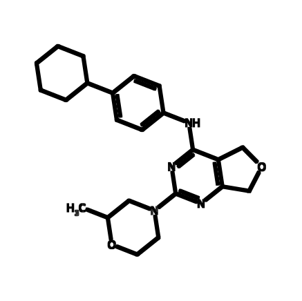 CC1CN(c2nc3c(c(Nc4ccc(C5CCCCC5)cc4)n2)COC3)CCO1